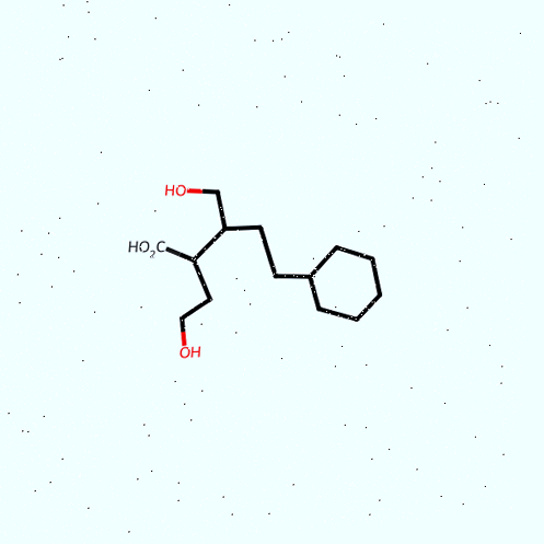 O=C(O)C(CCO)C(CO)CC[C]1CCCCC1